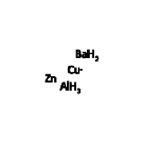 [AlH3].[BaH2].[Cu].[Zn]